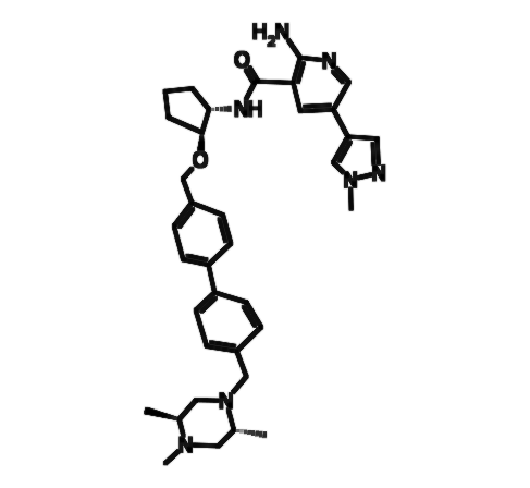 C[C@@H]1CN(C)[C@@H](C)CN1Cc1ccc(-c2ccc(CO[C@H]3CCC[C@@H]3NC(=O)c3cc(-c4cnn(C)c4)cnc3N)cc2)cc1